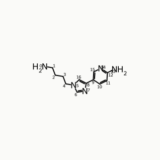 NCCCCn1cnc(-c2ccc(N)nc2)c1